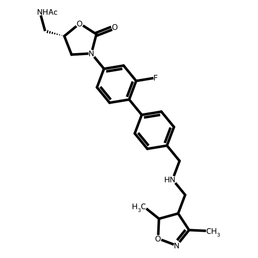 CC(=O)NC[C@H]1CN(c2ccc(-c3ccc(CNCC4C(C)=NOC4C)cc3)c(F)c2)C(=O)O1